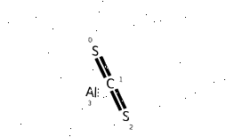 S=C=S.[Al]